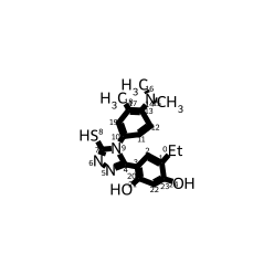 CCc1cc(-c2nnc(S)n2-c2ccc(N(C)C)c(C)c2)c(O)cc1O